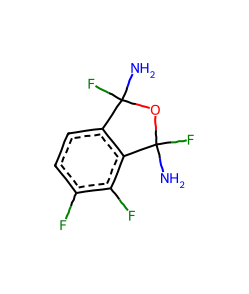 NC1(F)OC(N)(F)c2c1ccc(F)c2F